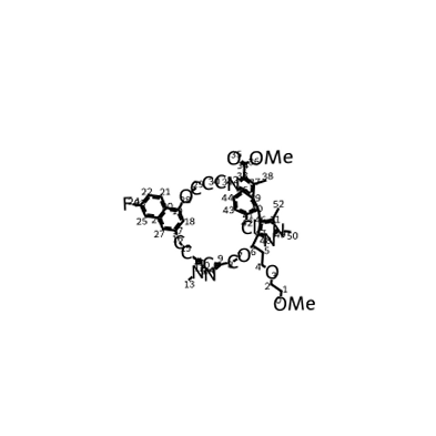 COCCOCCC1OCc2cc(n(C)n2)CCc2cc(c3ccc(F)cc3c2)OCCCn2c(C(=O)OC)c(C)c3c(c(Cl)ccc32)-c2c1nn(C)c2C